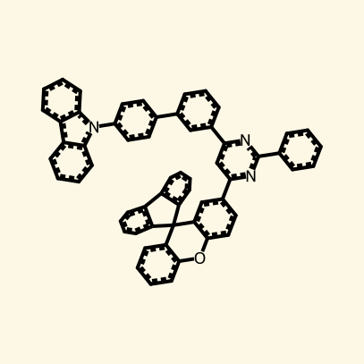 c1ccc(-c2nc(-c3cccc(-c4ccc(-n5c6ccccc6c6ccccc65)cc4)c3)cc(-c3ccc4c(c3)C3(c5ccccc5O4)c4ccccc4-c4ccccc43)n2)cc1